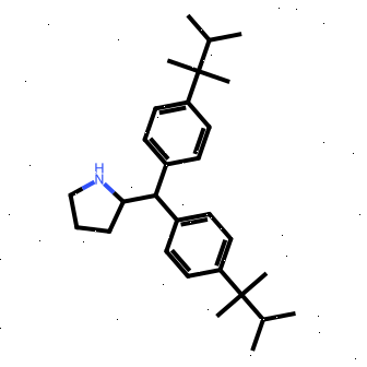 CC(C)C(C)(C)c1ccc(C(c2ccc(C(C)(C)C(C)C)cc2)C2CCCN2)cc1